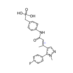 C/C(=C\C(=O)Nc1ccc(CP(=O)(O)O)cc1)c1cnn(C)c1-c1ccc(F)cc1